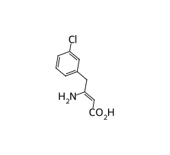 NC(=CC(=O)O)Cc1cccc(Cl)c1